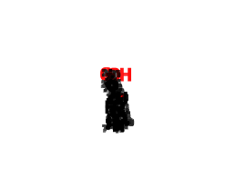 CC[C@]12CC[C@@H](C(C)C)[C@@H]1[C@H]1CC[C@@H]3[C@@]4(C)CC=C(c5ccc(C(=O)O)cc5)C(C)(C)[C@@H]4CC[C@@]3(C)[C@]1(C)CC2